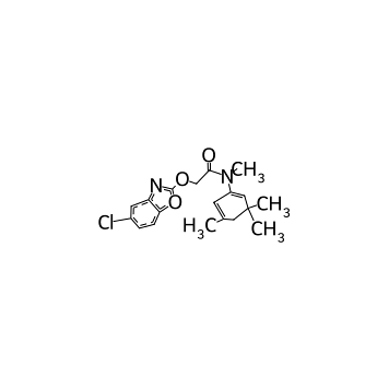 CC1=CC(N(C)C(=O)COc2nc3cc(Cl)ccc3o2)=CC(C)(C)C1